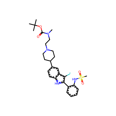 CN(CCN1CCC(c2ccc3[nH]c(-c4ccccc4NS(C)(=O)=O)c(F)c3c2)CC1)C(=O)OC(C)(C)C